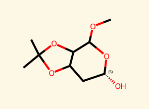 COC1O[C@H](O)CC2OC(C)(C)OC21